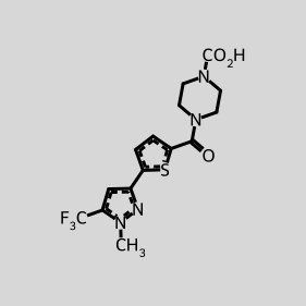 Cn1nc(-c2ccc(C(=O)N3CCN(C(=O)O)CC3)s2)cc1C(F)(F)F